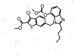 CCCCc1nc2cccc(OC(=O)OC)c2n1Cc1ccc2c(Cl)c(C(=O)OC)sc2c1